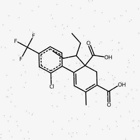 CCC(CC)C1(C(=O)O)CC(C(=O)O)=C(C)C=C1c1ccc(C(F)(F)F)cc1Cl